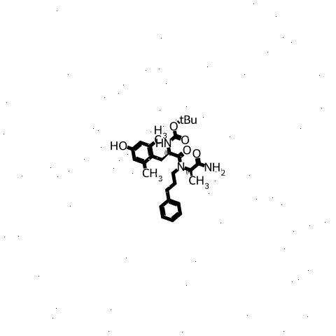 Cc1cc(O)cc(C)c1C[C@@H](NC(=O)OC(C)(C)C)C(=O)N(CCCc1ccccc1)[C@H](C)C(N)=O